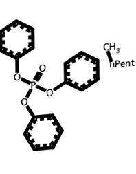 CCCCCC.O=P(Oc1ccccc1)(Oc1ccccc1)Oc1ccccc1